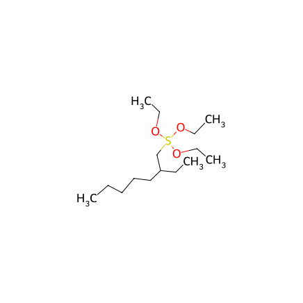 CCCCCC(CC)CS(OCC)(OCC)OCC